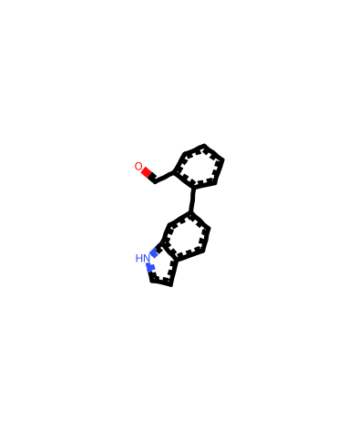 O=Cc1ccccc1-c1ccc2cc[nH]c2c1